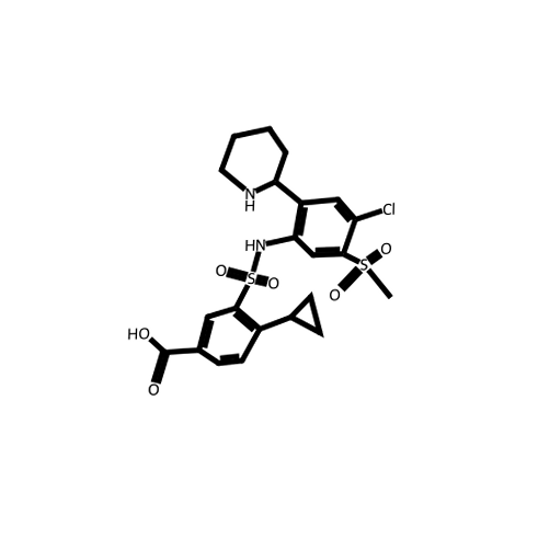 CS(=O)(=O)c1cc(NS(=O)(=O)c2cc(C(=O)O)ccc2C2CC2)c(C2CCCCN2)cc1Cl